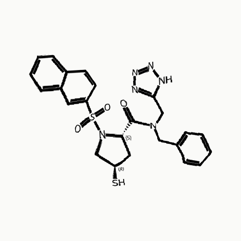 O=C([C@@H]1C[C@@H](S)CN1S(=O)(=O)c1ccc2ccccc2c1)N(Cc1ccccc1)Cc1nnn[nH]1